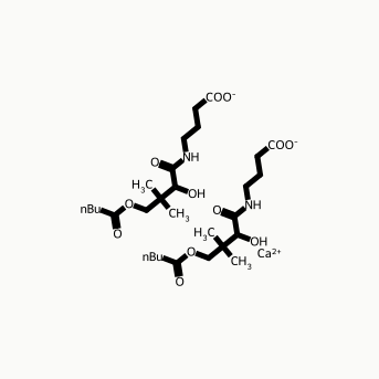 CCCCC(=O)OCC(C)(C)C(O)C(=O)NCCCC(=O)[O-].CCCCC(=O)OCC(C)(C)C(O)C(=O)NCCCC(=O)[O-].[Ca+2]